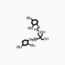 CC(C)(C)c1ccc(OPOCC(CO)(CO)COPOc2ccc(C(C)(C)C)cc2C(C)(C)C)c(C(C)(C)C)c1